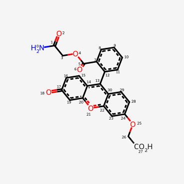 NC(=O)COC(=O)c1ccccc1-c1c2ccc(=O)cc-2oc2cc(OCC(=O)O)ccc12